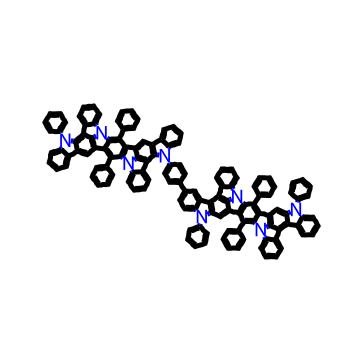 c1ccc(-c2c3c4cc5c(c6cc(-c7ccc(-n8c9ccccc9c9cc%10c%11c(-c%12ccccc%12)c%12c(c(-c%13ccccc%13)c%11n%11c%13ccccc%13c(c98)c%10%11)c8cc9c%10ccccc%10n(-c%10ccccc%10)c9c9c%10ccccc%10n%12c89)cc7)ccc6n5-c5ccccc5)c5c6ccccc6n(c3c(-c3ccccc3)c3c6cc7c(c8ccccc8n7-c7ccccc7)c7c8ccccc8n(c23)c67)c45)cc1